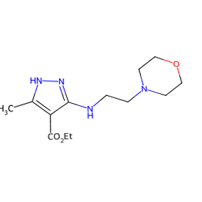 CCOC(=O)c1c(NCCN2CCOCC2)n[nH]c1C